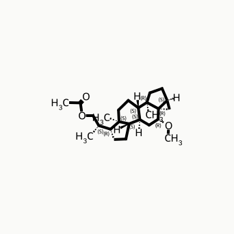 CO[C@@H]1C[C@H]2[C@@H]3CC[C@H]([C@H](C)COC(C)=O)[C@@]3(C)CC[C@@H]2[C@@]2(C)CC[C@H]3C[C@]312